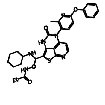 CCC(=O)NOC(NC1CCCCC1)c1sc2nccc3c2c1NC(=O)N3c1ccc(Oc2ccccc2)nc1C